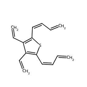 C=C/C=C\c1sc(/C=C\C=C)c(C=C)c1C=C